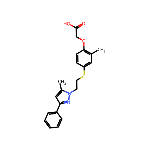 Cc1cc(SCCn2nc(-c3ccccc3)cc2C)ccc1OCC(=O)O